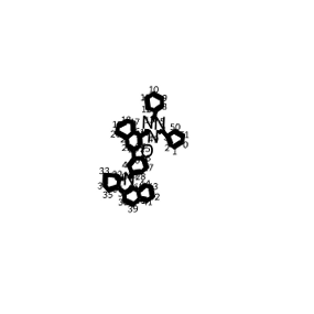 c1ccc(-c2nc(-c3ccccc3)nc(-c3c4ccccc4cc4c3oc3ccc(-n5c6ccccc6c6ccc7ccccc7c65)cc34)n2)cc1